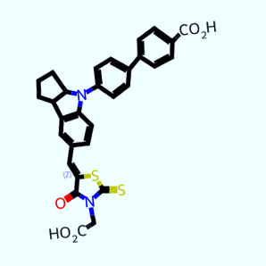 O=C(O)CN1C(=O)/C(=C/c2ccc3c(c2)C2CCCC2N3c2ccc(-c3ccc(C(=O)O)cc3)cc2)SC1=S